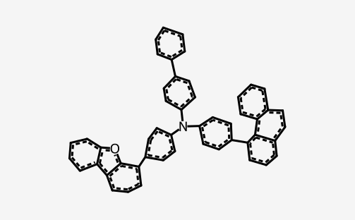 c1ccc(-c2ccc(N(c3ccc(-c4cccc5c4oc4ccccc45)cc3)c3ccc(-c4cccc5ccc6ccccc6c45)cc3)cc2)cc1